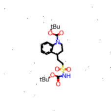 CC(C)(C)OC(=O)NS(=O)(=O)CCC1CCN(C(=O)OC(C)(C)C)c2ccccc21